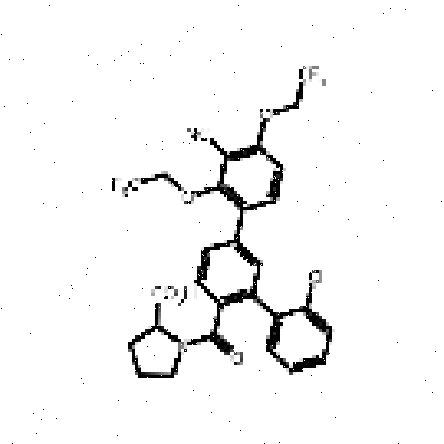 N#Cc1c(OCC(F)(F)F)ccc(-c2ccc(C(=O)N3CCCC3C(=O)O)c(-c3ccccc3Cl)c2)c1OCC(F)(F)F